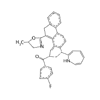 CC1CN=C(C2=c3c(ccc4c3=CC(C(=O)c3ccc(F)cc3)CC4C3=CC=CC=CN3)-c3ccccc3C2)O1